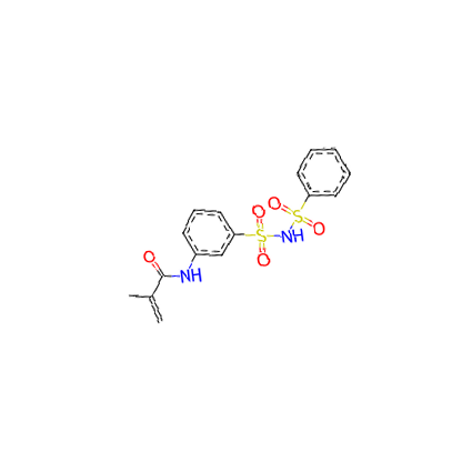 C=C(C)C(=O)Nc1cccc(S(=O)(=O)NS(=O)(=O)c2ccccc2)c1